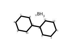 B.C1CCC(C2CCCCC2)CC1